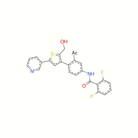 CC(=O)c1cc(NC(=O)c2c(F)cccc2F)ccc1-c1cc(-c2cccnc2)sc1CO